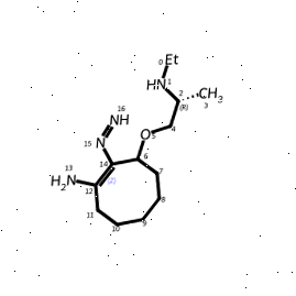 CCN[C@H](C)COC1CCCCC/C(N)=C\1N=N